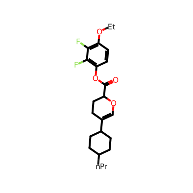 CCCC1CCC(C2=COC(C(=O)Oc3ccc(OCC)c(F)c3F)CC2)CC1